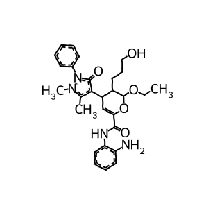 CCOC1OC(C(=O)Nc2ccccc2N)=CC(c2c(C)n(C)n(-c3ccccc3)c2=O)C1CCCO